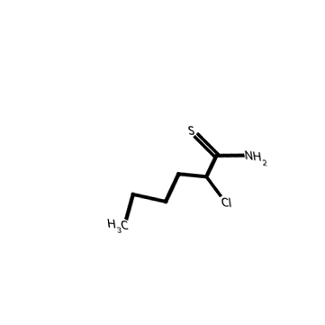 CCCCC(Cl)C(N)=S